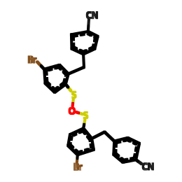 N#Cc1ccc(Cc2cc(Br)ccc2SOSc2ccc(Br)cc2Cc2ccc(C#N)cc2)cc1